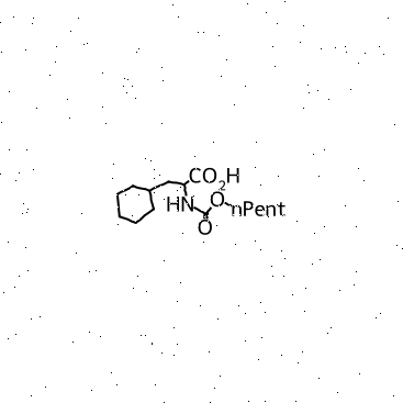 CCCCCOC(=O)NC(CC1CCCCC1)C(=O)O